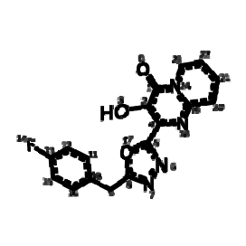 O=c1c(O)c(-c2nnc(Cc3ccc(F)cc3)o2)nc2ccccn12